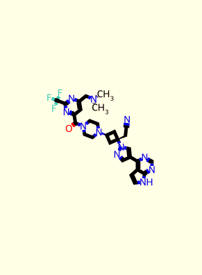 CN(C)Cc1cc(C(=O)N2CCN([C@H]3C[C@](CC#N)(n4cc(-c5ncnc6[nH]ccc56)cn4)C3)CC2)nc(C(F)(F)F)n1